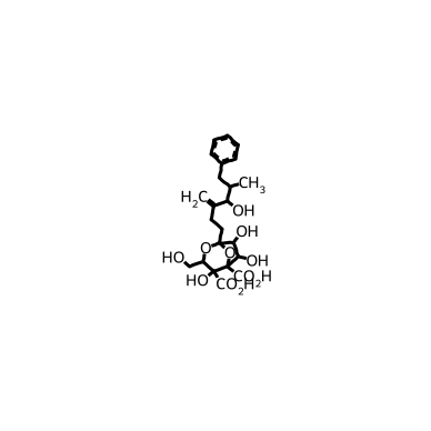 C=C(CCC12OC(CO)C(O)(C(=O)O)C(C(=O)O)(O1)C(O)C2O)C(O)C(C)Cc1ccccc1